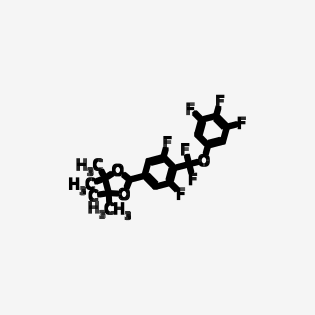 CC1(C)OC(c2cc(F)c(C(F)(F)Oc3cc(F)c(F)c(F)c3)c(F)c2)OC1(C)C